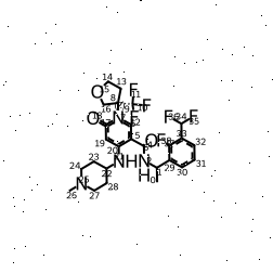 CC(NC(=O)c1cn([C@]2(C(F)(F)F)CCOC2)c(=O)cc1NC1CCN(C)CC1)c1cccc(C(F)F)c1F